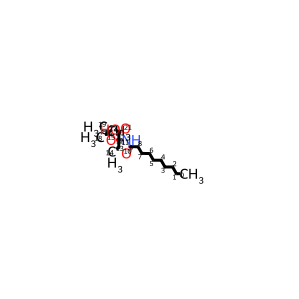 CCCCCCCCCC(=O)NC(CC)(OC(C)(C)C)C(=O)O